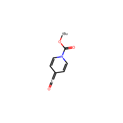 CC(C)(C)OC(=O)N1C=CC(=C=O)C=C1